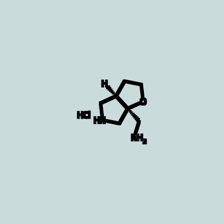 Cl.NC[C@]12CNC[C@H]1CCO2